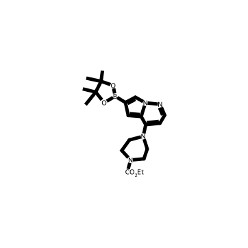 CCOC(=O)N1CCN(c2ccnn3cc(B4OC(C)(C)C(C)(C)O4)cc23)CC1